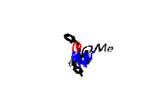 COc1nc(C)nc2c1c(COCc1ccccc1)nn2[C@@H](C)c1ccc(C)cc1